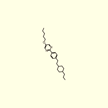 CCCCCOc1cnc(-c2ccc(CCC3CCC(CCC)CC3)cc2)nc1